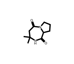 CC1(C)CC(=O)N2CCCC2C(=O)N1